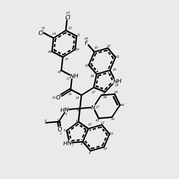 CC(=O)NC(c1c[nH]c2ccccc12)(C(C(=O)NCc1ccc(Cl)c(Cl)c1)c1c[nH]c2ccc(F)cc12)N1CC=CCC1